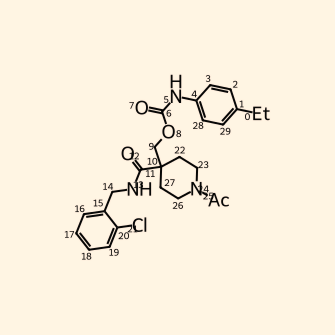 CCc1ccc(NC(=O)OCC2(C(=O)NCc3ccccc3Cl)CCN(C(C)=O)CC2)cc1